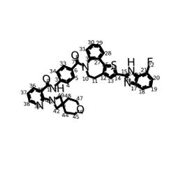 O=C(Nc1ccc(C(=O)N2CCc3cc(-c4nc5cccc(F)c5[nH]4)sc3-c3ccccc32)cc1)c1cccnc1N1CC2(CCOCC2)C1